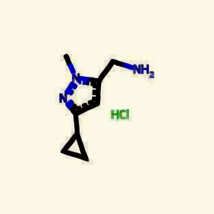 Cl.Cn1nc(C2CC2)cc1CN